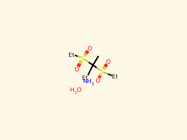 CCC(C)(S(=O)(=O)CC)S(=O)(=O)CC.N.O